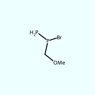 COCP(P)Br